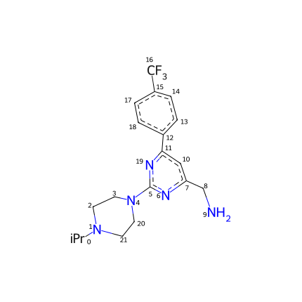 CC(C)N1CCN(c2nc(CN)cc(-c3ccc(C(F)(F)F)cc3)n2)CC1